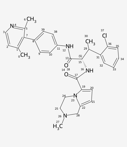 Cc1ccnc(C)c1-c1ccc(NC(=O)[C@@H](NC(=O)c2ccc3n2CCN(C)C3)C(C)c2ccccc2Cl)cc1